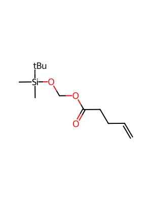 C=CCCC(=O)OCO[Si](C)(C)C(C)(C)C